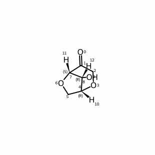 O=C1CO[C@@H]2CO[C@H]1[C@@H]2O